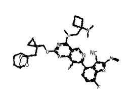 C=Nc1sc2c(F)ccc(-c3ncc4c(N(C)CC5(N(C)C)CCC5)nc(OCC5(CN6CC7CCC6CO7)CC5)nc4c3F)c2c1C#N